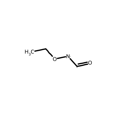 CCO[N][C]=O